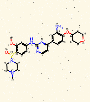 COc1cc(Nc2nccc(-c3ccc(OC4CCOCC4)c(N)c3)n2)ccc1[S+]([O-])N1CCN(C)CC1